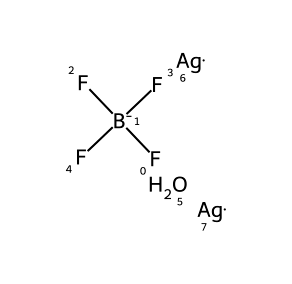 F[B-](F)(F)F.O.[Ag].[Ag]